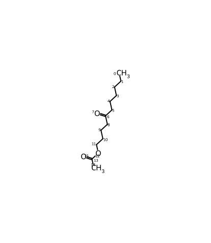 CCCCCCC(=O)CCCCOC(C)=O